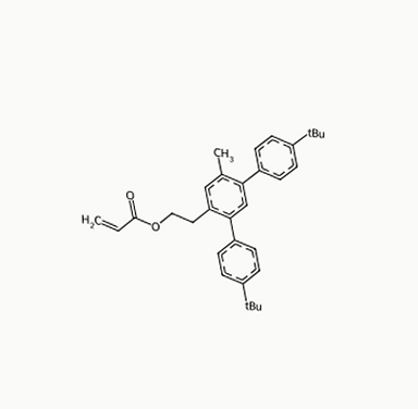 C=CC(=O)OCCc1cc(C)c(-c2ccc(C(C)(C)C)cc2)cc1-c1ccc(C(C)(C)C)cc1